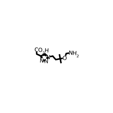 CC(C)(CCn1cc(CC(=O)O)nn1)OCN